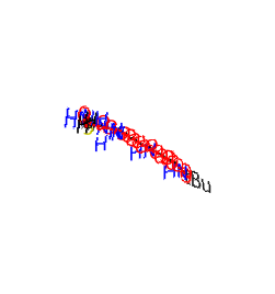 CC(C)(C)OC(=O)NCCOCCOCCOCCOCCOCCNC(=O)CCOCCOCCOCCOCCOCc1cn(CCOCCNC(=O)CCCC[C@@H]2SC[C@@H]3NC(=O)N[C@@H]32)nn1